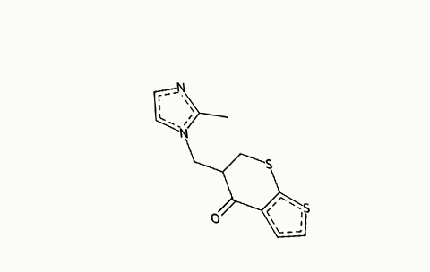 Cc1nccn1CC1CSc2sccc2C1=O